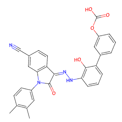 Cc1ccc(N2C(=O)C(=NNc3cccc(-c4cccc(OC(=O)O)c4)c3O)c3ccc(C#N)cc32)cc1C